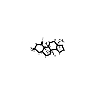 C[C@@]12CCC[C@H]1[C@@H]1CCC3CC(=O)CC(=O)[C@]3(C)[C@H]1CC2